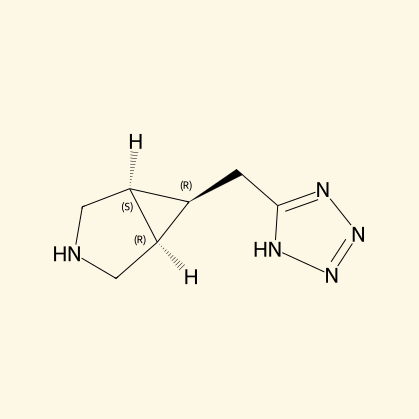 C1NC[C@H]2[C@@H]1[C@H]2Cc1nnn[nH]1